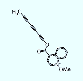 CC#CC#CC#COC(=O)c1cc[n+](OC)c2ccccc12